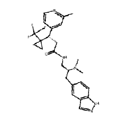 Cc1cc([C@H](CC(=O)NC[C@H](Cc2ccc3[nH]ncc3c2)N(C)C)C2(C(F)(F)F)CC2)ccn1